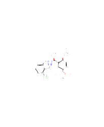 CC(C)Oc1ccc(S(C)(=O)=O)cc1C(=O)N1Cc2cccc(Br)c2C1